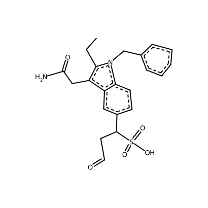 CCc1c(CC(N)=O)c2cc(C(CC=O)S(=O)(=O)O)ccc2n1Cc1ccccc1